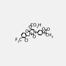 Cn1c(=O)oc2cc(-n3cc(OC(=O)O)c(=O)n(Cc4cccc(C(F)(F)F)c4Cl)c3=O)ccc21